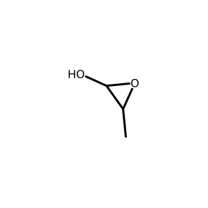 CC1OC1O